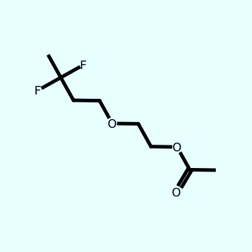 CC(=O)OCCOCCC(C)(F)F